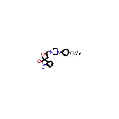 COc1ccc(N2CCN(CC3CC4(CO3)C(=O)Nc3ccccc34)CC2)cc1